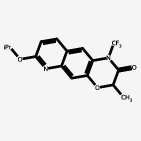 CC(C)Oc1ccc2cc3c(cc2n1)OC(C)C(=O)N3C(F)(F)F